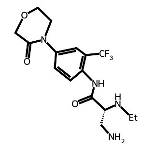 CCN[C@H](CN)C(=O)Nc1ccc(N2CCOCC2=O)cc1C(F)(F)F